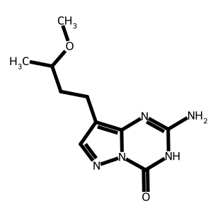 COC(C)CCc1cnn2c(=O)[nH]c(N)nc12